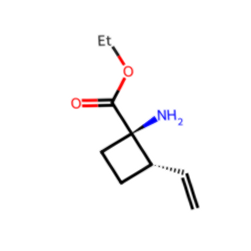 C=C[C@@H]1CC[C@]1(N)C(=O)OCC